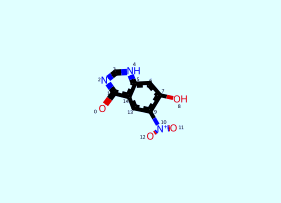 O=c1nc[nH]c2cc(O)c([N+](=O)[O-])cc12